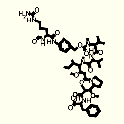 CCC(C)C(C(CC(=O)N1CCCC1C(OC)C(C)C(=O)NC(Cc1ccccc1)C(=O)O)OC)N(C)C(=O)C(NC(=O)C(C(C)C)N(C)C(=O)OCc1ccc(NC(=O)C(CCCNC(N)=O)NC=O)cc1)C(C)C